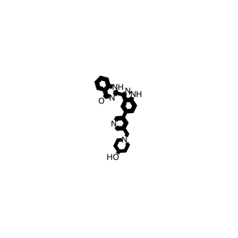 O=c1nc(-c2n[nH]c3ccc(-c4cncc(CN5CCC(O)CC5)c4)cc23)[nH]c2ccccc12